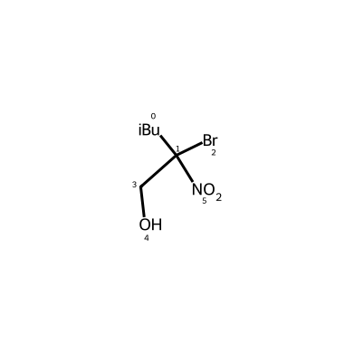 CCC(C)C(Br)(CO)[N+](=O)[O-]